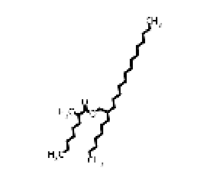 CCCCCCCCCCCCCCC(CCCCCCC)COC(=O)C(C)CCCCCC